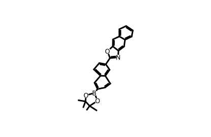 CC1(C)OB(c2ccc3cc(-c4nc5cc6ccccc6cc5o4)ccc3c2)OC1(C)C